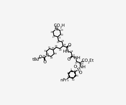 CCCc1ccc(S(=O)(=O)N[C@@H](CNC(=O)CNC(=O)C(CCC2CCN(C(=O)O)CC2)CCC2CCN(C(=O)OC(C)(C)C)CC2)C(=O)OCC)cc1